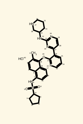 Cc1ccc2c(NS(=O)(=O)C3CCCC3)cccc2c1Oc1ncccc1-c1ccnc(NC2CCCNC2)n1.Cl